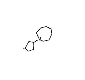 [CH]1CCC(N2CCCCCCC2)C1